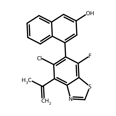 C=C(C)c1c(Cl)c(-c2cc(O)cc3ccccc23)c(F)c2scnc12